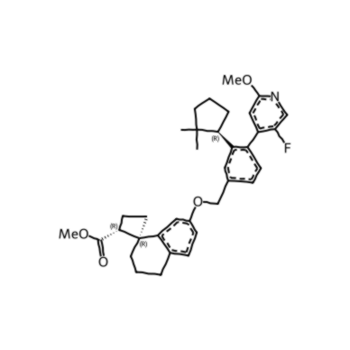 COC(=O)[C@@H]1CC[C@]12CCCc1ccc(OCc3ccc(-c4cc(OC)ncc4F)c([C@@H]4CCCC4(C)C)c3)cc12